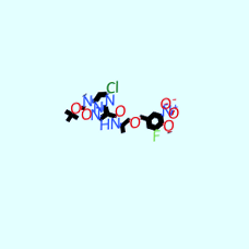 COc1c(F)cc(COCC(C)NC(=O)c2cnn3c(N(C)C(=O)OC(C)(C)C)cc(Cl)nc23)cc1[N+](=O)[O-]